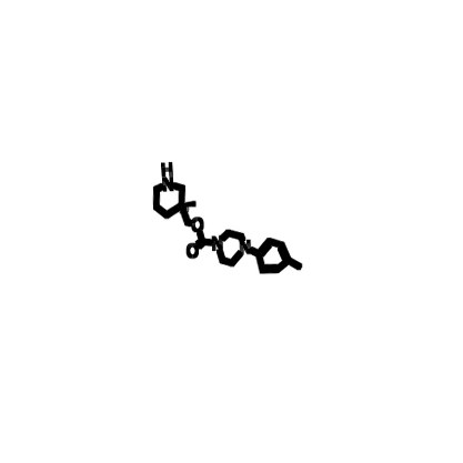 Cc1ccc(N2CCN(C(=O)OC[C@]3(C)CCCNC3)CC2)cc1